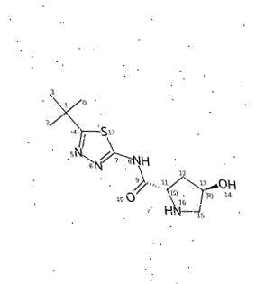 CC(C)(C)c1nnc(NC(=O)[C@@H]2C[C@@H](O)CN2)s1